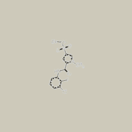 CC(C)NS(=O)(=O)c1cc(C(=O)Nc2cccc(Cl)c2F)n(C)c1